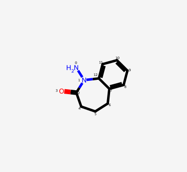 NN1C(=O)CCCc2ccccc21